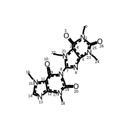 Cn1c(=O)c2c(nc(-n3c(=O)c4c(ncn4C)n(C)c3=O)n2C)n(C)c1=O